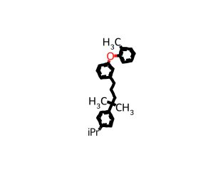 Cc1ccccc1Oc1cccc(CCCC(C)(C)c2ccc(C(C)C)cc2)c1